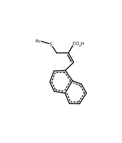 CC(=O)SC/C(=C\c1cccc2ccccc12)C(=O)O